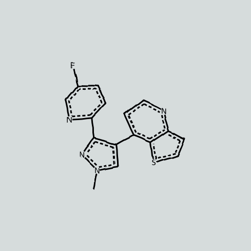 Cn1cc(-c2ccnc3ccsc23)c(-c2ccc(F)cn2)n1